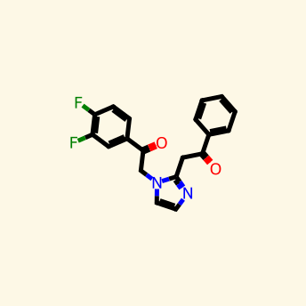 O=C(Cc1nccn1CC(=O)c1ccc(F)c(F)c1)c1ccccc1